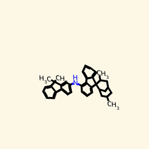 CC1CC2CC(C)C3(c4ccccc4-c4c(Nc5ccc6c(c5)C(C)(C)c5ccccc5-6)cccc43)C(C1)C2